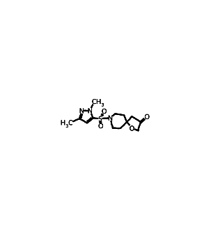 Cc1cc(S(=O)(=O)N2CCC3(CC2)CC(=O)CO3)n(C)n1